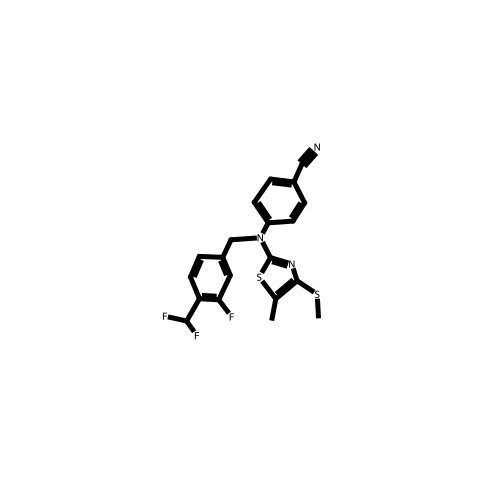 CSc1nc(N(Cc2ccc(C(F)F)c(F)c2)c2ccc(C#N)cc2)sc1C